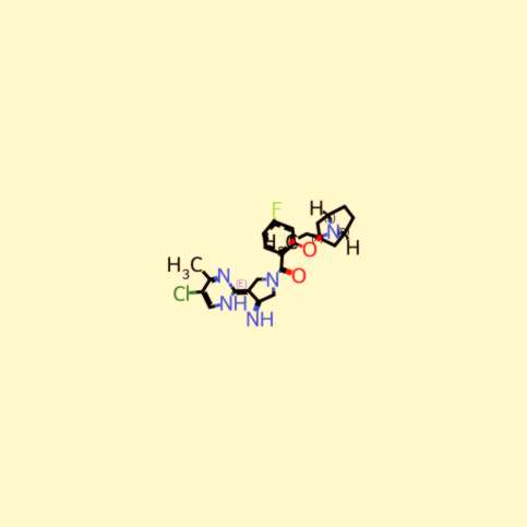 CCCN1[C@@H]2CC[C@H]1C[C@@H](Oc1cc(F)ccc1C(=O)N1CC(=N)/C(=C3/N=C(C)C(Cl)=CN3)C1)C2